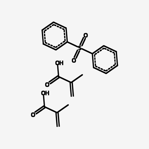 C=C(C)C(=O)O.C=C(C)C(=O)O.O=S(=O)(c1ccccc1)c1ccccc1